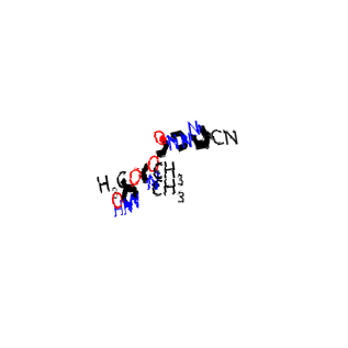 Cc1c(OC(COCCC(=O)N2CCN(c3ccc(C#N)cn3)CC2)CN(C)C)cn[nH]c1=O